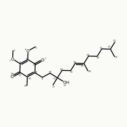 COC1=C(OC)C(=O)C(CCC(C)(O)CC/C=C(\C)CCCC(C)C)=C(C)C1=O